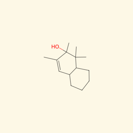 CC1=CC2CCCCC2C(C)(C)C1(C)O